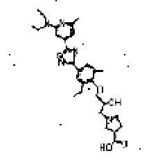 CCc1cc(-c2noc(-c3cc(C)nc(N(CC)CC)c3)n2)cc(C)c1OC[C@@H](O)CN1CCC(C(=O)O)C1